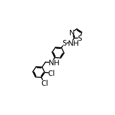 Clc1cccc(CNc2ccc(SNc3nccs3)cc2)c1Cl